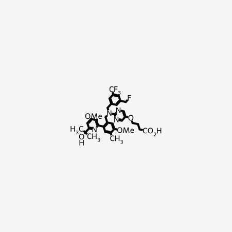 COc1cc(CN(Cc2cc(CF)cc(C(F)(F)F)c2)c2ncc(OCCCC(=O)O)cn2)c(-c2nc(C(C)(C)O)ccc2OC)cc1C